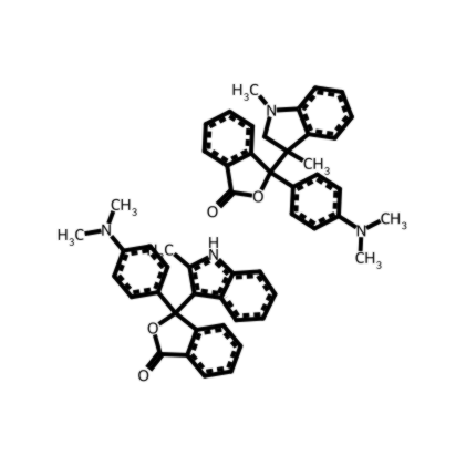 CN(C)c1ccc(C2(C3(C)CN(C)c4ccccc43)OC(=O)c3ccccc32)cc1.Cc1[nH]c2ccccc2c1C1(c2ccc(N(C)C)cc2)OC(=O)c2ccccc21